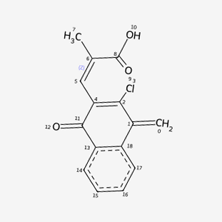 C=C1C(Cl)=C(/C=C(/C)C(=O)O)C(=O)c2ccccc21